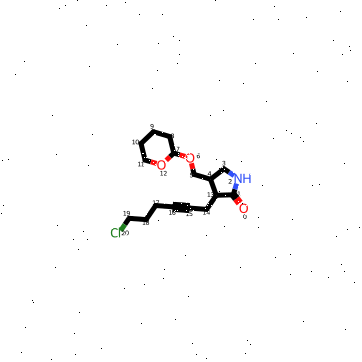 O=C1NCC(COC2CCCCO2)C1CC#CCCCCl